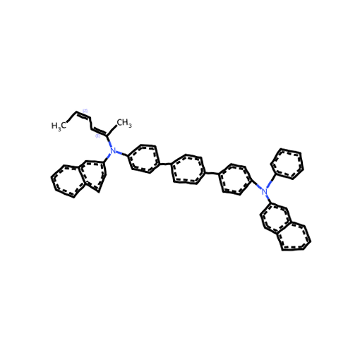 C/C=C\C=C(/C)N(c1ccc(-c2ccc(-c3ccc(N(c4ccccc4)c4ccc5ccccc5c4)cc3)cc2)cc1)c1ccc2ccccc2c1